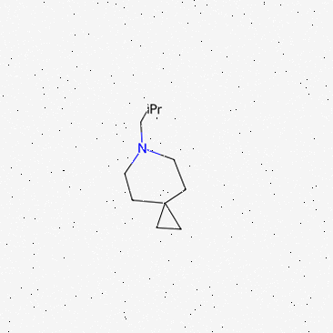 CC(C)CN1CCC2(CC1)CC2